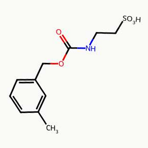 Cc1cccc(COC(=O)NCCS(=O)(=O)O)c1